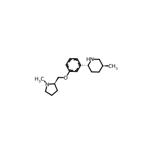 C[C@H]1CC[C@H](c2cccc(OC[C@H]3CCCN3C)c2)NC1